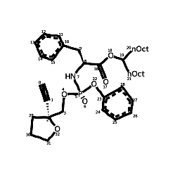 C#C[C@@]1(COP(=O)(N[C@@H](Cc2ccccc2)C(=O)OC(CCCCCCCC)CCCCCCCC)Oc2ccccc2)CCCO1